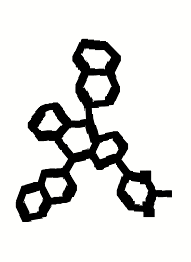 Cc1nccc(-c2ccc3c(-c4ccc5ccccc5c4)c4ccccc4c(-c4ccc5ccccc5c4)c3c2)n1